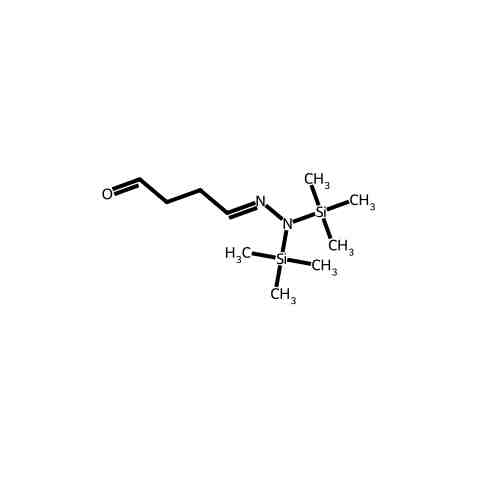 C[Si](C)(C)N(N=CCCC=O)[Si](C)(C)C